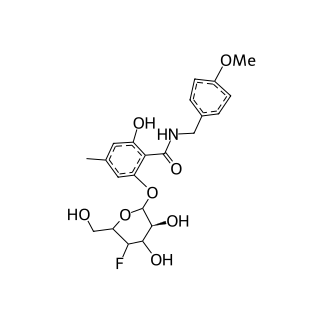 COc1ccc(CNC(=O)c2c(O)cc(C)cc2OC2OC(CO)C(F)C(O)[C@@H]2O)cc1